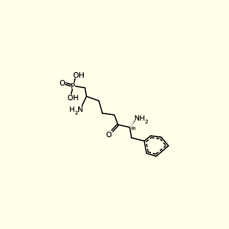 NC(CCCC(=O)[C@H](N)Cc1ccccc1)CP(=O)(O)O